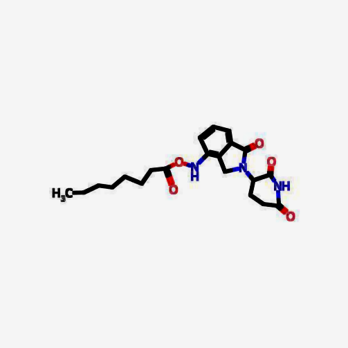 CCCCCCCC(=O)ONc1cccc2c1CN(C1CCC(=O)NC1=O)C2=O